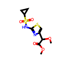 COC(=O)C(OC)c1csc(NS(=O)(=O)C2CC2)n1